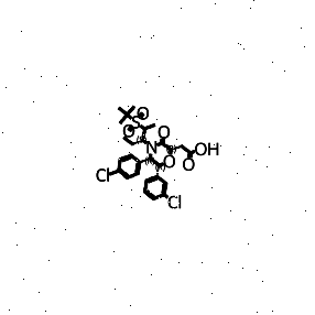 CC[C@@H](C(C)S(=O)(=O)C(C)(C)C)N1C(=O)[C@@H](CC(=O)O)O[C@H](c2cccc(Cl)c2)[C@H]1c1ccc(Cl)cc1